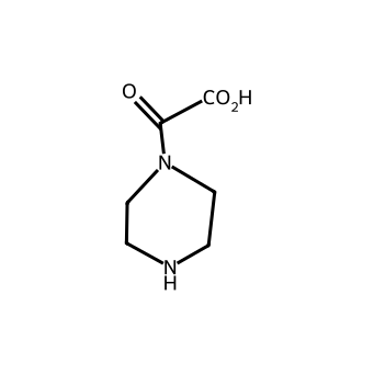 O=C(O)C(=O)N1CCNCC1